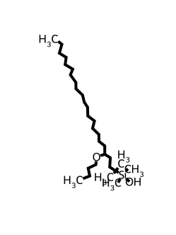 CCCCCCCCCCCCCCCCCCC(CCC(C)(C)[Si](C)(C)O)OCCCC